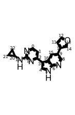 c1cc(-c2c[nH]c3ncc(-c4ccoc4)cc23)nc(NC2CC2)n1